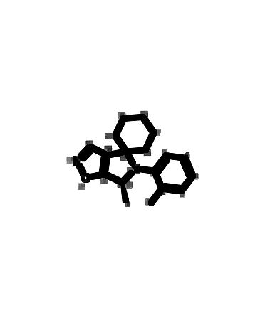 Cc1ccccc1N1[C@@H](C)c2oncc2C12CCCCC2